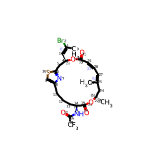 C/C(Br)=C\[C@@H]1Cc2nc(cs2)CCC[C@H](NC(=O)C(F)(F)F)C(=O)O[C@@H](C)C/C(C)=C/C=C\C(=O)O1